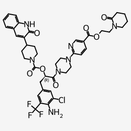 Nc1c(Cl)cc(C[C@@H](OC(=O)N2CCC(c3cc4ccccc4[nH]c3=O)CC2)C(=O)N2CCN(c3ccc(C(=O)OCCN4CCCCC4=O)cn3)CC2)cc1C(F)(F)F